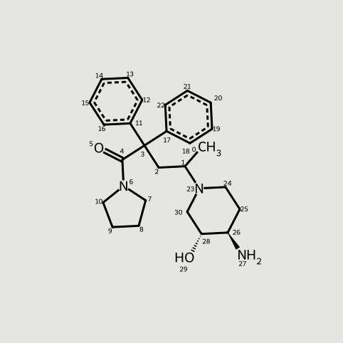 CC(CC(C(=O)N1CCCC1)(c1ccccc1)c1ccccc1)N1CC[C@@H](N)[C@H](O)C1